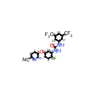 N#Cc1ccc(Oc2ccc(F)c(NC(=O)Nc3cc(C(F)(F)F)cc(C(F)(F)F)c3)c2)cn1